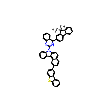 CC1(C)c2ccccc2-c2ccc(-c3nc(-n4c5ccccc5c5c6cc(-c7ccc8sc9ccccc9c8c7)ccc6ccc54)nc4ccccc34)cc21